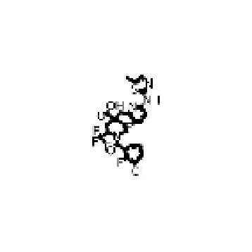 Cc1cnc(Nc2ccc(F)c(CC3(C(=O)O)CCN(C(=O)c4cccc(Cl)c4F)C(C(F)(F)F)C3)n2)s1